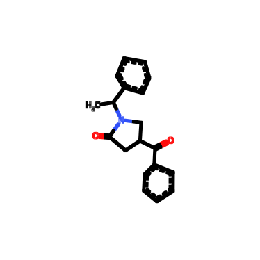 CC(c1ccccc1)N1CC(C(=O)c2ccccc2)CC1=O